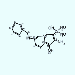 Nc1c(S(N=O)(N=O)N=O)cc2cc(NCc3ccccc3)ccc2c1O